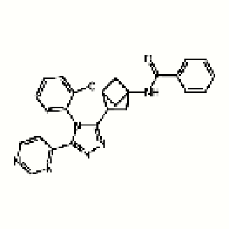 O=C(NC12CC(C1)C(c1nnc(-c3ccncn3)n1-c1ccccc1Cl)C2)c1ccccc1